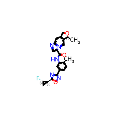 Cc1ccc(-c2noc([C@H]3C[C@@H]3F)n2)cc1NC(=O)c1cnc2cc3c(cn12)[C@H](C)OC3